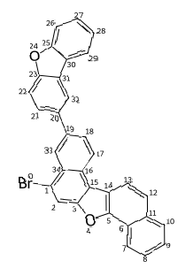 Brc1cc2oc3c4ccccc4ccc3c2c2ccc(-c3ccc4oc5ccccc5c4c3)cc12